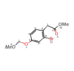 COCOc1ccc(CC(=O)OC)c(Br)c1